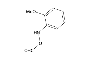 COc1ccccc1NOC=O